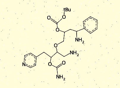 CC(C)(C)OC(=O)OC(COC(CN)C(Cc1ccncc1)OC(N)=O)CC(N)c1ccccc1